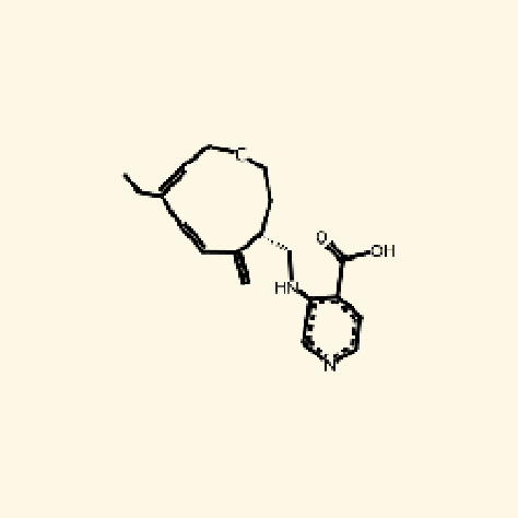 C=C1/C=C\C(CC)=C/CCCC[C@@H]1CNc1cnccc1C(=O)O